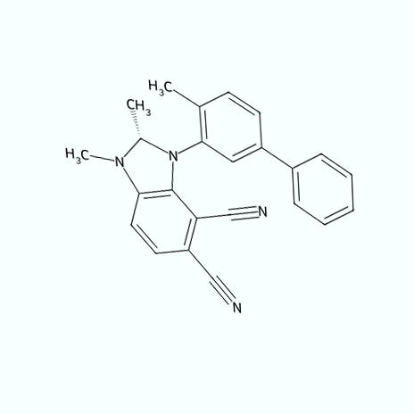 Cc1ccc(-c2ccccc2)cc1N1c2c(ccc(C#N)c2C#N)N(C)[C@@H]1C